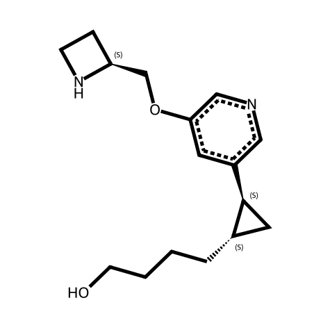 OCCCC[C@H]1C[C@@H]1c1cncc(OC[C@@H]2CCN2)c1